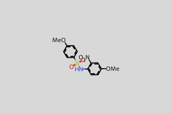 COc1ccc(S(=O)(=O)Nc2ccc(OC)cc2[N+](=O)[O-])cc1